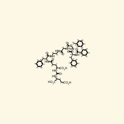 O=C(O)CC[C@H](NC(=O)N[C@@H](CCC(=O)N[C@@H](Cc1ccccc1)C(=O)NCCNC(=O)CNC(=O)[C@H](Cc1ccccc1)NC(=O)[C@H](Cc1ccccc1)NC(=O)c1ccccc1)C(=O)O)C(=O)O